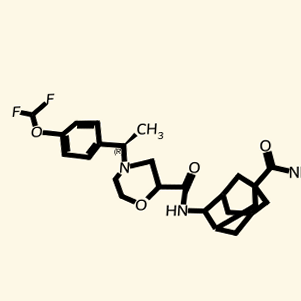 C[C@H](c1ccc(OC(F)F)cc1)N1CCOC(C(=O)NC2C3CC4CC2CC(C(N)=O)(C4)C3)C1